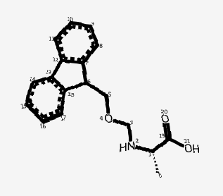 C[C@H](NCOCC1c2ccccc2-c2ccccc21)C(=O)O